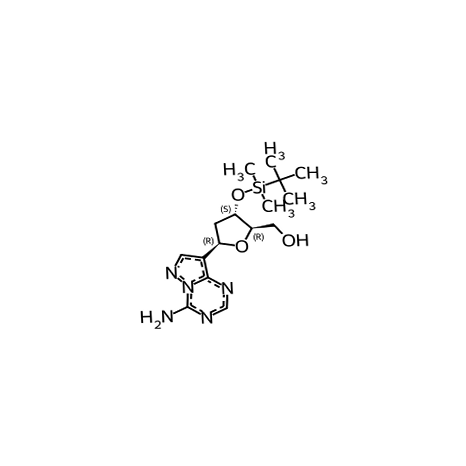 CC(C)(C)[Si](C)(C)O[C@H]1C[C@H](c2cnn3c(N)ncnc23)O[C@@H]1CO